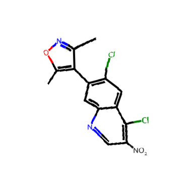 Cc1noc(C)c1-c1cc2ncc([N+](=O)[O-])c(Cl)c2cc1Cl